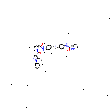 CCCc1c(C(=O)N2CCC[C@H]2C(=O)Nc2ccc(/C=C/c3ccc(NC(=O)[C@@H]4CCCN4)cc3)cc2)cnn1-c1ccccc1